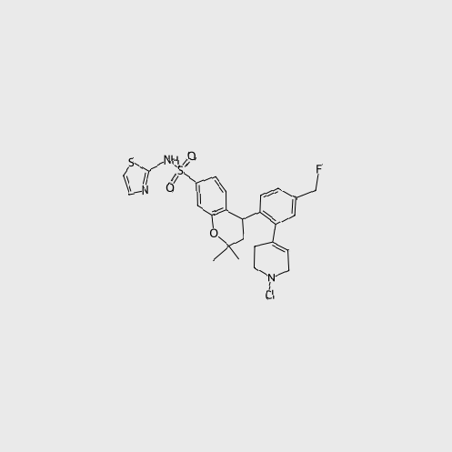 CC1(C)CC(c2ccc(CF)cc2C2=CCN(Cl)CC2)c2ccc(S(=O)(=O)Nc3nccs3)cc2O1